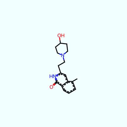 Cc1cccc2c(=O)[nH]c(CCN3CCC(O)CC3)cc12